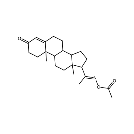 CC(=O)O/N=C(\C)C1CCC2C3CCC4=CC(=O)CCC4(C)C3CCC12C